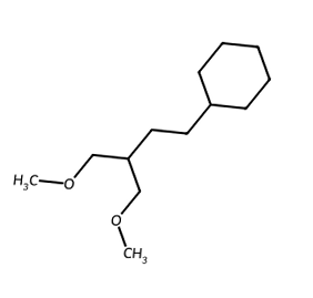 COCC(CCC1CCCCC1)COC